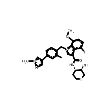 COc1ccc(F)c2c(C(=O)N[C@H]3CCOC[C@@H]3O)cn(Cc3ccc(-c4cnn(C)c4)cc3F)c12